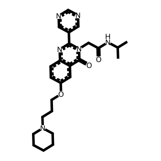 CC(C)NC(=O)Cn1c(-c2cncnc2)nc2ccc(OCCCN3CCCCC3)cc2c1=O